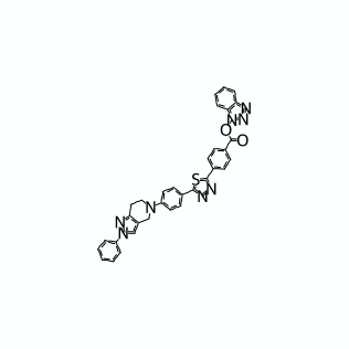 O=C(On1nnc2ccccc21)c1ccc(-c2nnc(-c3ccc(N4CCc5nn(-c6ccccc6)cc5C4)cc3)s2)cc1